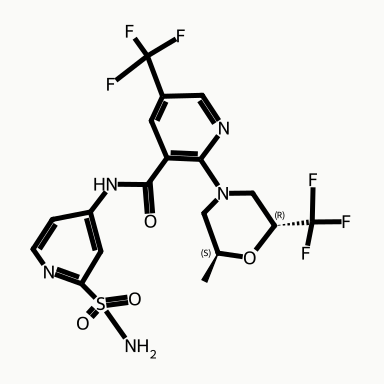 C[C@H]1CN(c2ncc(C(F)(F)F)cc2C(=O)Nc2ccnc(S(N)(=O)=O)c2)C[C@H](C(F)(F)F)O1